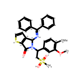 CCOc1cc(C(CS(C)(=O)=O)N2C(=O)c3sccc3C2N=C(c2ccccc2)c2ccccc2)ccc1OC